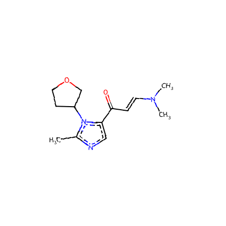 Cc1ncc(C(=O)C=CN(C)C)n1C1CCOC1